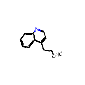 O=[C]CCc1ccnc2ccccc12